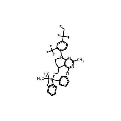 Cc1nc(Cl)c2c(n1)N(c1ccc(C(F)(F)CF)cc1C(F)(F)F)CCC2CO[Si](c1ccccc1)(c1ccccc1)C(C)(C)C